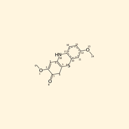 COC1=CC2=C(CC1=O)Sc1cc(OC)ccc1N2